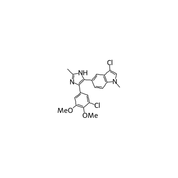 COc1cc(-c2nc(C)[nH]c2-c2ccc3c(c2)c(Cl)cn3C)cc(Cl)c1OC